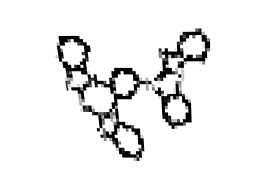 c1ccc2c(c1)nc1sc3nc4ccccc4n3c3cc(-n4c5ccccc5n5c6ccccc6nc45)ccc3n12